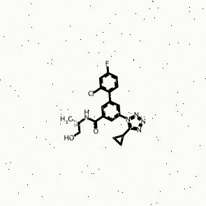 C[C@@H](CO)NC(=O)c1cc(-c2ccc(F)cc2Cl)cc(-n2nnnc2C2CC2)c1